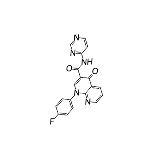 O=C(Nc1ccncn1)c1cn(-c2ccc(F)cc2)c2ncccc2c1=O